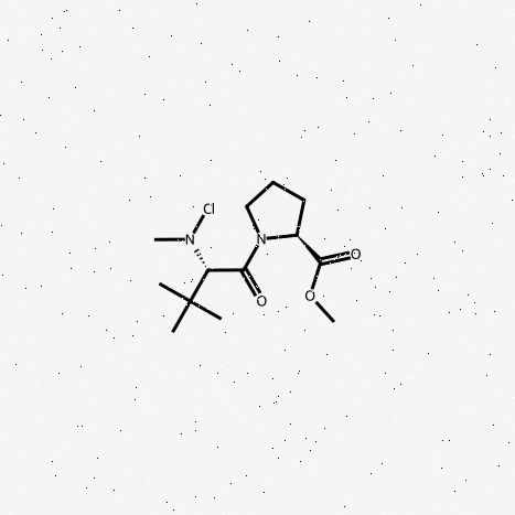 COC(=O)[C@@H]1CCCN1C(=O)[C@@H](N(C)Cl)C(C)(C)C